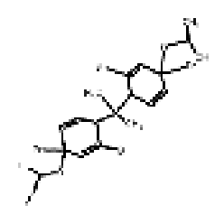 CC(O)OC1(Br)C=CC(C(C)(C)C2C=CC(Br)(OC(C)O)C=C2Br)C(Br)=C1